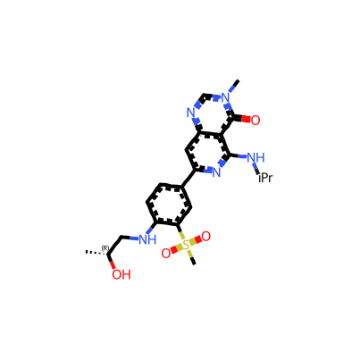 CC(C)Nc1nc(-c2ccc(NC[C@@H](C)O)c(S(C)(=O)=O)c2)cc2ncn(C)c(=O)c12